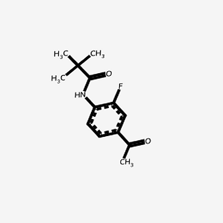 CC(=O)c1ccc(NC(=O)C(C)(C)C)c(F)c1